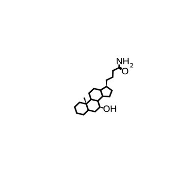 C[C@]12CCCCC1C[C@H](O)C1C3CC[C@H](CCCC(N)=O)C3CCC12